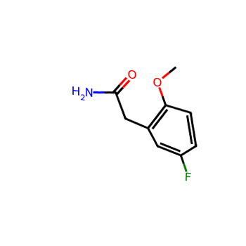 COc1ccc(F)cc1CC(N)=O